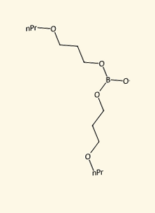 CCCOCCCOB([O])OCCCOCCC